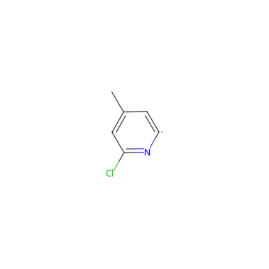 Cc1c[c]nc(Cl)c1